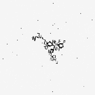 CCN(CCCOc1cc2c(cc1OC)=C(Nc1cnn(CC(N)=O)c1)N(c1cccc(F)c1F)CN=2)CCN(C)C